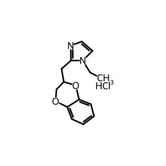 CCn1ccnc1CC1COc2ccccc2O1.Cl